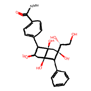 CNC(=O)c1ccc(C2C(O)[C@@]3(O)C(c4ccccc4)[C@@](O)([C@H](O)CO)[C@@]23O)cc1